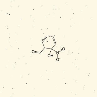 O=CC1C=CC=CC1(O)[N+](=O)[O-]